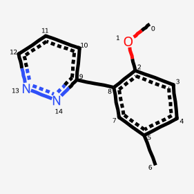 COc1ccc(C)cc1-c1cccnn1